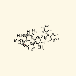 C#Cc1cccc(F)c1C1C(C(=O)OC(C)N2CCN(C(c3ccccc3)c3ccccc3)CC2)=C(C)NC(N)=C1C(=O)OC